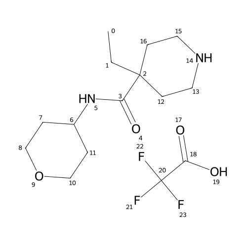 CCC1(C(=O)NC2CCOCC2)CCNCC1.O=C(O)C(F)(F)F